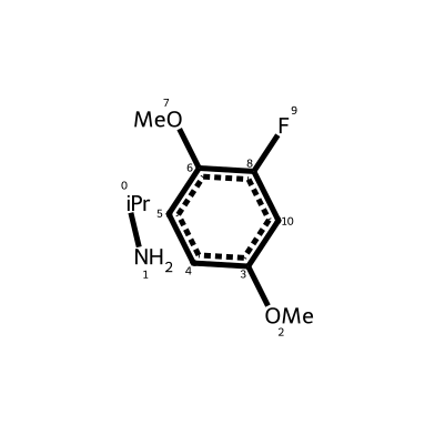 CC(C)N.COc1ccc(OC)c(F)c1